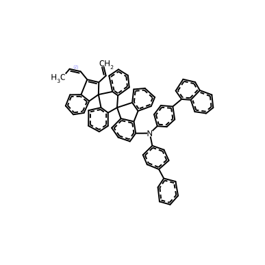 C=CC1=C(/C=C\C)c2ccccc2C12c1ccccc1C1(c3ccccc3-c3c(N(c4ccc(-c5ccccc5)cc4)c4ccc(-c5cccc6ccccc56)cc4)cccc31)c1ccccc12